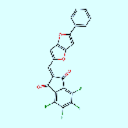 O=C1C(=Cc2cc3oc(-c4ccccc4)cc3o2)C(=O)c2c(F)c(F)c(F)c(F)c21